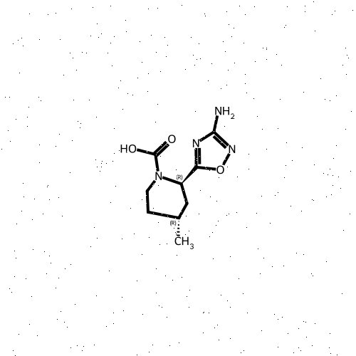 C[C@@H]1CCN(C(=O)O)[C@@H](c2nc(N)no2)C1